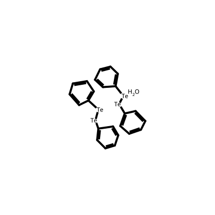 O.c1ccc([Te][Te]c2ccccc2)cc1.c1ccc([Te][Te]c2ccccc2)cc1